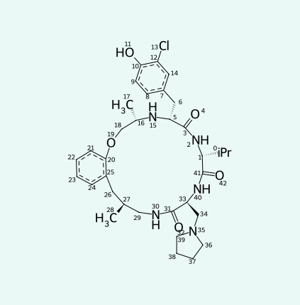 CC(C)[C@H]1NC(=O)[C@@H](Cc2ccc(O)c(Cl)c2)N[C@@H](C)COc2ccccc2C[C@H](C)CNC(=O)[C@H](CN2CCCC2)NC1=O